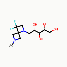 CC(=O)N1CC2(C1)N(C[C@H](O)[C@H](O)[C@H](O)CO)CC2(F)F